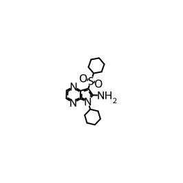 Nc1c(S(=O)(=O)C2CCCCC2)c2nccnc2n1C1CCCCC1